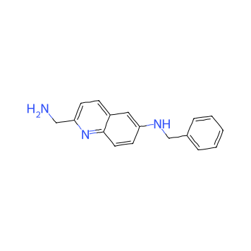 NCc1ccc2cc(NCc3ccccc3)ccc2n1